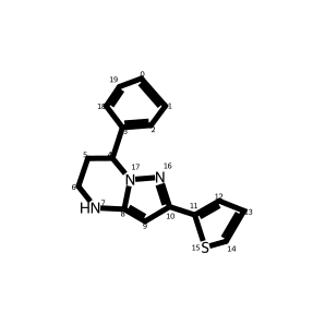 c1ccc(C2CCNc3cc(-c4cccs4)nn32)cc1